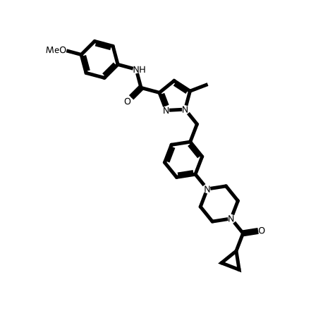 COc1ccc(NC(=O)c2cc(C)n(Cc3cccc(N4CCN(C(=O)C5CC5)CC4)c3)n2)cc1